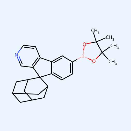 CC1(C)OB(c2ccc3c(c2)-c2ccncc2C32C3CC4CC(C3)CC2C4)OC1(C)C